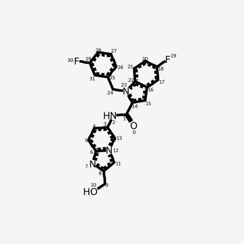 O=C(Nc1ccc2nc(CO)cn2c1)c1cc2cc(F)ccc2n1Cc1cccc(F)c1